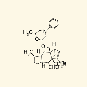 CC(C)C1=C[C@H]2C[C@@]3(C=O)[C@@H]4CC[C@@H](C)[C@H]4C[C@@]2(CO[C@H]2CN(c4ccccc4)C[C@@H](C)O2)[C@]13C(=O)O